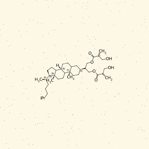 C=C(CO)C(=O)OCC(COC(=O)C(=C)CO)[C@H]1CC[C@@]2(C)C(CC[C@@H]3C2CC[C@@]2(C)C3CC[C@@H]2[C@H](C)CCCC(C)C)C1